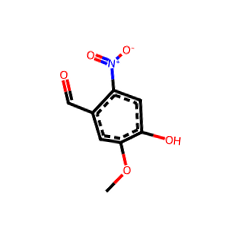 COc1cc(C=O)c([N+](=O)[O-])cc1O